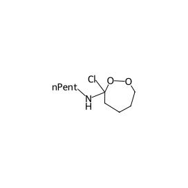 CCCCCNC1(Cl)CCCCOO1